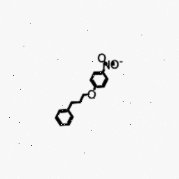 O=[N+]([O-])c1ccc(OCCCc2ccccc2)cc1